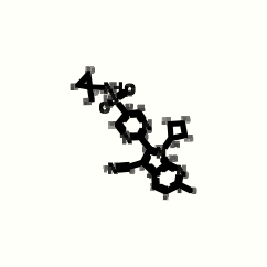 Cc1ccc2c(C#N)c(-c3ncc(S(=O)(=O)NC4(C)CC4)cn3)n(C3CCC3)c2n1